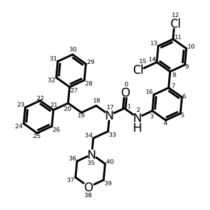 O=C(Nc1cccc(-c2ccc(Cl)cc2Cl)c1)N(CCC(c1ccccc1)c1ccccc1)CCN1CCOCC1